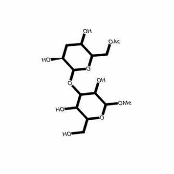 COC1OC(CO)C(O)C(OC2OC(COC(C)=O)C(O)C[C@@H]2O)C1O